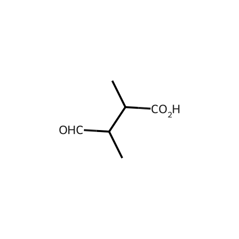 CC(C=O)C(C)C(=O)O